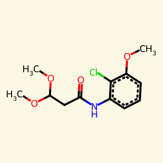 COc1cccc(NC(=O)CC(OC)OC)c1Cl